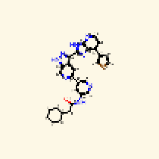 O=C(CC1CCCCC1)Nc1cncc(-c2cc3c(-c4nc5c(-c6ccsc6)ccnc5[nH]4)n[nH]c3cn2)c1